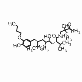 CC(C)[C@@H](Cc1ccc(O)c(OCCCO)c1)C[C@H](N)[C@@H](O)C[C@H](C(=O)NCC(C)(C)C(N)=O)C(C)C